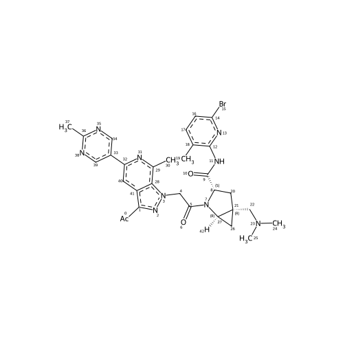 CC(=O)c1nn(CC(=O)N2[C@H](C(=O)Nc3nc(Br)ccc3C)C[C@@]3(CN(C)C)C[C@@H]23)c2c(C)nc(-c3cnc(C)nc3)cc12